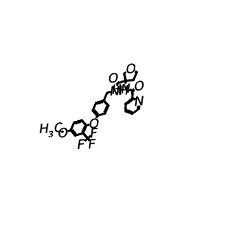 COc1ccc(Oc2ccc(CNC(=O)C3(NC(=O)c4ccccn4)CCOC3)cc2)c(C(F)(F)F)c1